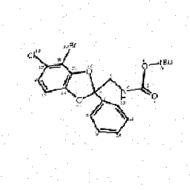 CC(C)(C)OC(=O)NCC1(c2ccccc2)Oc2ccc(Cl)c(Br)c2O1